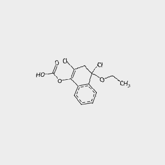 CCOC1(Cl)CC(Cl)=C(OC(=O)O)c2ccccc21